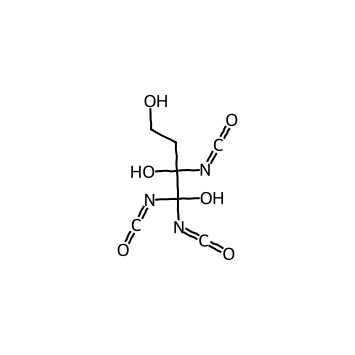 O=C=NC(O)(CCO)C(O)(N=C=O)N=C=O